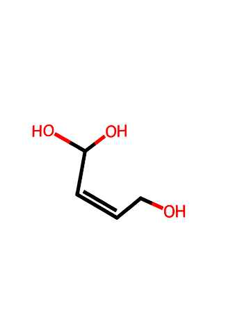 OC/C=C\C(O)O